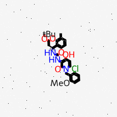 COc1cccc(Cl)c1Cn1ccc(O)c(NC(=O)N[C@@H](CC(=O)OC(C)(C)C)c2cccc(C)c2)c1=O